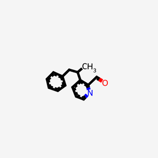 CC(Cc1ccccc1)c1cccnc1C=O